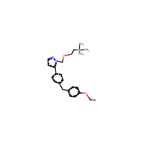 [2H]COc1ccc(Cc2ccc(-c3ccnn3COCC[Si](C)(C)C)cc2)cc1